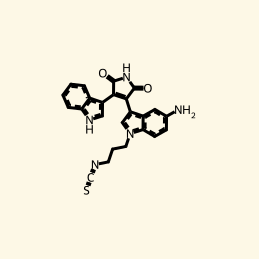 Nc1ccc2c(c1)c(C1=C(c3c[nH]c4ccccc34)C(=O)NC1=O)cn2CCCN=C=S